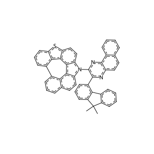 CC1(C)c2ccccc2-c2c(-c3nc4ccc5ccccc5c4nc3-n3c4ccc5cccc6c5c4c4c5c(ccc43)sc3cccc-6c35)cccc21